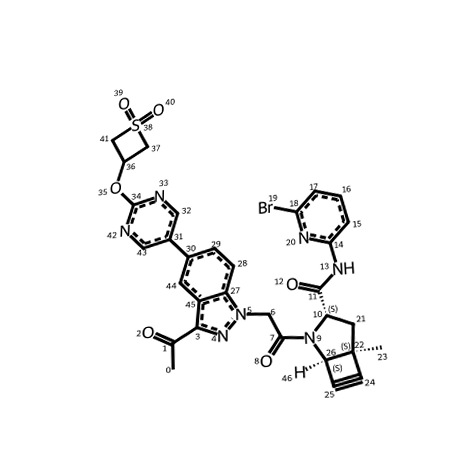 CC(=O)c1nn(CC(=O)N2[C@H](C(=O)Nc3cccc(Br)n3)C[C@@]3(C)C#C[C@@H]23)c2ccc(-c3cnc(OC4CS(=O)(=O)C4)nc3)cc12